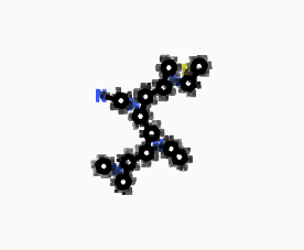 N#Cc1ccc(-n2c3ccc(-c4ccc5c(c4)c4cc(-c6ccc7c(c6)c6ccccc6n7-c6ccccc6)ccc4n5-c4ccc5ccccc5c4)cc3c3cc(-c4ccc5c(c4)c4ccccc4n5-c4cccc5c4sc4ccccc45)ccc32)cc1